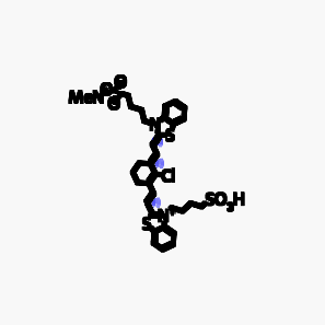 CNOS(=O)(=O)CCCCN1/C(=C/C=C2\CCCC(/C=C/c3sc4ccccc4[n+]3CCCCS(=O)(=O)O)=C2Cl)Sc2ccccc21